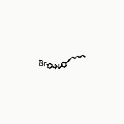 CCCCCCC#Cc1ccc(C[N]Cc2ccc(Br)cc2)cc1